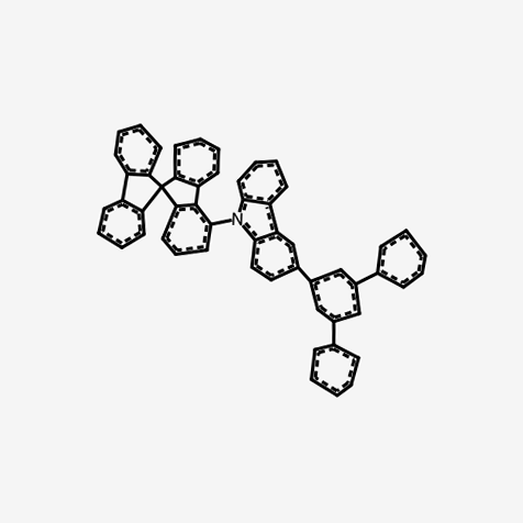 c1ccc(-c2cc(-c3ccccc3)cc(-c3ccc4c(c3)c3ccccc3n4-c3cccc4c3-c3ccccc3C43c4ccccc4-c4ccccc43)c2)cc1